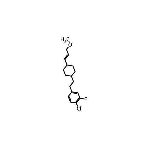 COCC=CC1CCC(CCc2ccc(Cl)c(F)c2)CC1